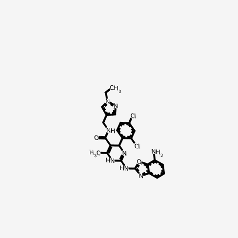 CCn1cc(CNC(=O)C2=C(C)NC(Nc3nc4cccc(N)c4o3)=NC2c2ccc(Cl)cc2Cl)cn1